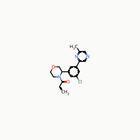 C=CC(=O)N1CCOCC1c1cc(Cl)cc(-c2cncc(C)n2)c1